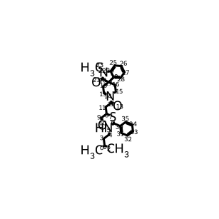 CC(C)CCNC(SC(C=O)CC(=O)N1CCC2(CC1)C(=O)N(C)c1ccccc12)c1ccccc1